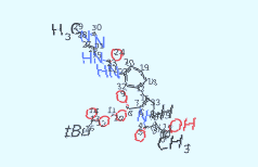 C[C@@H](O)[C@H]1C(=O)N2C(C(=O)OCOC(=O)C(C)(C)C)=C(c3cccc(NC(=O)Nc4cn(C)cn4)c3)C[C@H]12